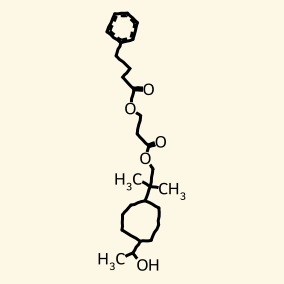 CC(O)C1CCCC(C(C)(C)COC(=O)CCOC(=O)CCCc2ccccc2)CCC1